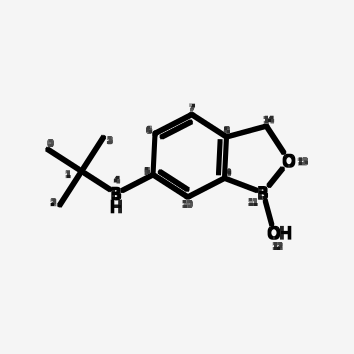 CC(C)(C)Bc1ccc2c(c1)B(O)OC2